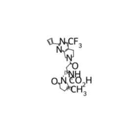 C[C@@H]1CCC(=O)N(C[C@H](CC(=O)N2CCc3c(nc(C4=CC=C4)nc3C(F)(F)F)C2)NC(=O)O)C1